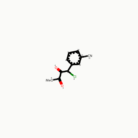 COC(=O)C(=O)C(Cl)c1cccc(C#N)c1